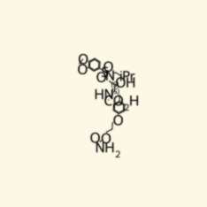 CC(C)CN(C[C@H](O)[C@H](Cc1ccc(OCCCOC(N)=O)cc1)NC(=O)O)S(=O)(=O)c1ccc2c(c1)OCO2